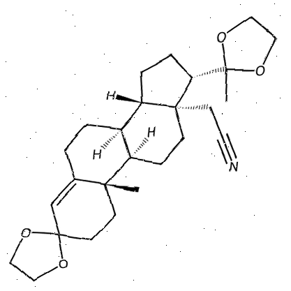 CC1([C@H]2CC[C@H]3[C@@H]4CCC5=CC6(CC[C@@]5(C)[C@@H]4CC[C@]23CC#N)OCCO6)OCCO1